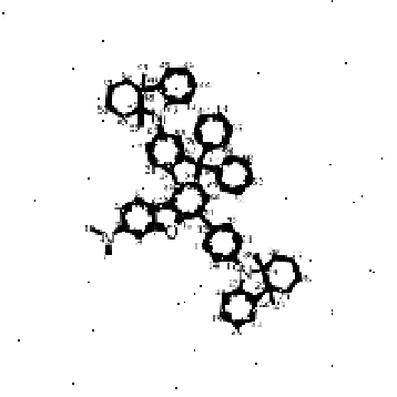 CN(C)c1ccc2c(c1)oc1c(-c3ccc(N4c5ccccc5C5(C)CCCCC45C)cc3)cc3c(c12)-c1ccc(N2c4ccccc4C4(C)CCCCC24C)cc1C3(c1ccccc1)c1ccccc1